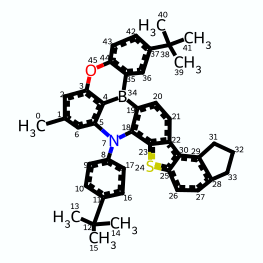 Cc1cc2c3c(c1)N(c1ccc(C(C)(C)C)cc1)c1c(ccc4c1sc1ccc5c(c14)CCC5)B3c1cc(C(C)(C)C)ccc1O2